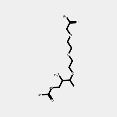 CC(C)C(=O)COCCOCCOC(C)C(P)CNC(=O)C(C)C